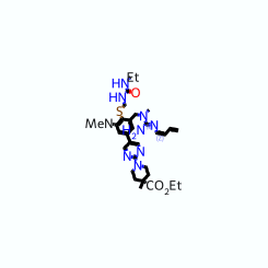 C=C/C=C\N=C(/N)N(C)Cc1cc(-c2cnc(N3CCC(C)(C(=O)OCC)CC3)nc2)cc(NC)c1SCNC(=O)NCC